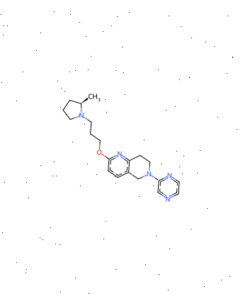 C[C@@H]1CCCN1CCCOc1ccc2c(n1)CCN(c1cnccn1)C2